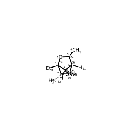 CC[C@]12O[C@@H](C)[C@H](N[C@@H]1C)[C@@H]2OC